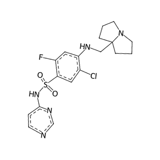 O=S(=O)(Nc1ccncn1)c1cc(Cl)c(NCC23CCCN2CCC3)cc1F